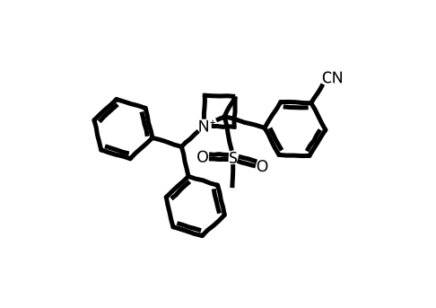 CS(=O)(=O)C1(c2cccc(C#N)c2)C2C[N+]1(C(c1ccccc1)c1ccccc1)C2